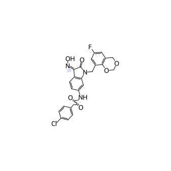 O=C1/C(=N\O)c2ccc(NS(=O)(=O)c3ccc(Cl)cc3)cc2N1Cc1cc(F)cc2c1OCOC2